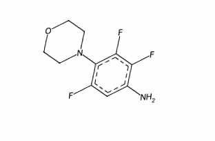 Nc1cc(F)c(N2CCOCC2)c(F)c1F